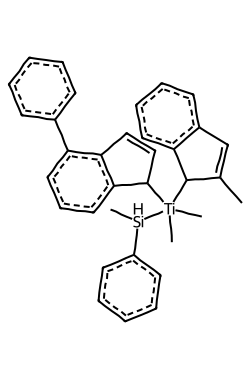 CC1=Cc2ccccc2[CH]1[Ti]([CH3])([CH3])([CH]1C=Cc2c(-c3ccccc3)cccc21)[SiH](C)c1ccccc1